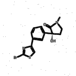 CN1CC[C@@](O)(c2cccc(-c3csc(Br)n3)c2)C1=O